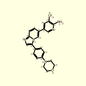 Nc1ncc(-c2ccc3ncc(-c4ccc(N5CCOCC5)cc4)n3c2)cc1C(F)(F)F